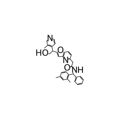 Cc1ccc(C(NC(=O)Cc2ccc3oc(C(CO)c4ccncc4C)cc3n2)c2ccccc2)c(C)c1